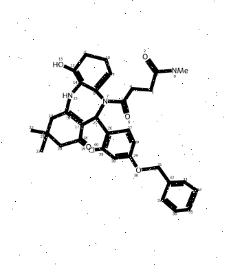 CNC(=O)CCC(=O)N1C2=CCCC(O)=C2NC2=C(C(=O)CC(C)(C)C2)C1c1ccc(OCc2ccccc2)cc1Cl